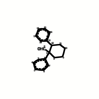 O=CC1(c2ccccc2)CCCCC1c1ccccc1